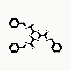 O=C(OCc1ccccc1)B1OB(C(=O)OCc2ccccc2)OB(C(=O)OCc2ccccc2)O1